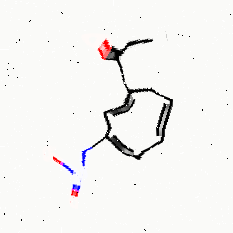 CC(=O)c1cccc([N+](=O)[O-])c1.Cl